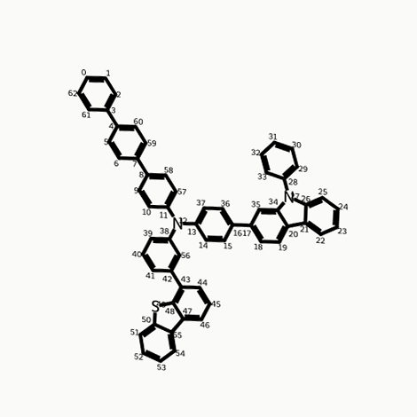 c1ccc(-c2ccc(-c3ccc(N(c4ccc(-c5ccc6c7ccccc7n(-c7ccccc7)c6c5)cc4)c4cccc(-c5cccc6c5sc5ccccc56)c4)cc3)cc2)cc1